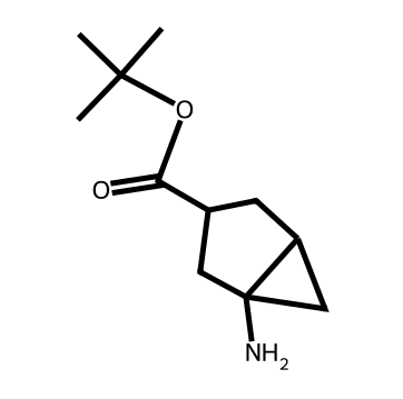 CC(C)(C)OC(=O)C1CC2CC2(N)C1